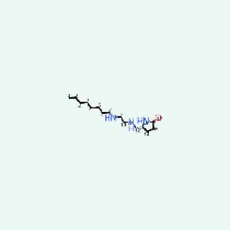 CCCCCCCCNCCNC[C@H]1CCC(=O)N1